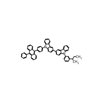 CCC(C)c1cccc(-n2c3ccccc3c3cc(-c4ccc5c(c4)c4ccccc4n5-c4ccc(-c5c6ccccc6c(-c6ccccc6)c6ccccc56)cc4)ccc32)c1